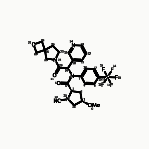 CO[C@@H]1C[C@H](C(=O)N(c2ccc(S(F)(F)(F)(F)F)cc2)[C@@H](C(=O)N2CCC3(COC3)C2)c2cccnc2)N(C#N)C1